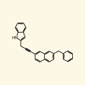 C(#Cc1ccc2ccc(Cc3ccccc3)cc2c1)Cc1cc2ccccc2[nH]1